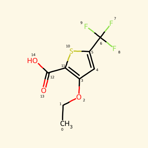 CCOc1cc(C(F)(F)F)sc1C(=O)O